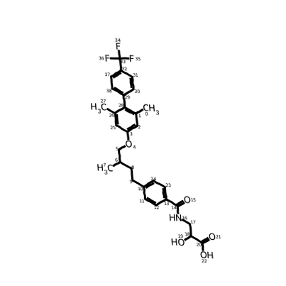 Cc1cc(OCC(C)CCc2ccc(C(=O)NCC(O)C(=O)O)cc2)cc(C)c1-c1ccc(C(F)(F)F)cc1